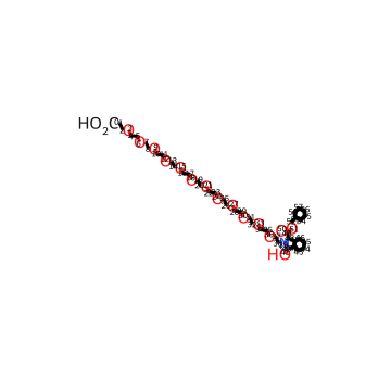 O=C(O)CCOCCOCCOCCOCCOCCOCCOCCOCCOCCOCCOCCOCCN1C(O)c2ccccc2C1C(=O)OCc1ccccc1